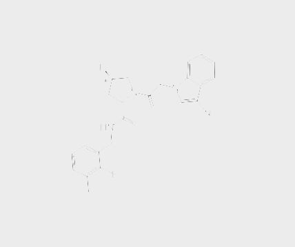 Cc1cccc(CNC(=O)[C@@H]2C[C@@H](F)CN2C(=O)Cn2cc([N+](=O)[O-])c3ccccc32)c1F